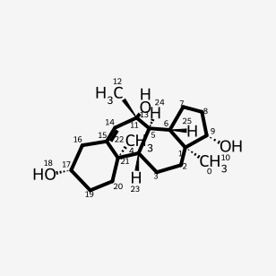 C[C@]12CC[C@H]3[C@H]([C@@H]1CC[C@@H]2O)[C@@](C)(O)C=C1C[C@@H](O)CC[C@@]13C